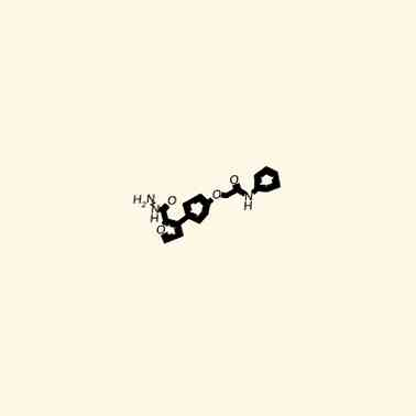 NNC(=O)c1occc1-c1ccc(OCC(=O)Nc2ccccc2)cc1